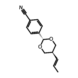 CC=C[C@H]1CO[C@H](c2ccc(C#N)cc2)OC1